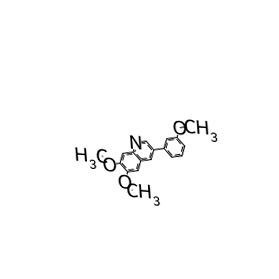 COc1cccc(-c2cnc3cc(OC)c(OC)cc3c2)c1